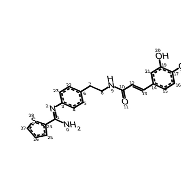 N/C(=N\c1ccc(CCNC(=O)/C=C/c2ccc(O)c(O)c2)cc1)c1cccs1